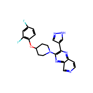 Fc1ccc(OC2CCN(c3nc4cnccc4nc3-c3cn[nH]c3)CC2)c(F)c1